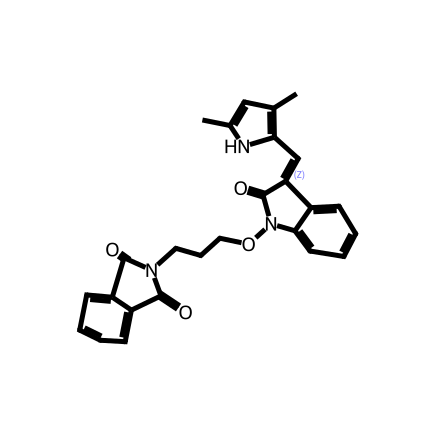 Cc1cc(C)c(/C=C2\C(=O)N(OCCCN3C(=O)c4ccccc4C3=O)c3ccccc32)[nH]1